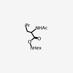 CCCCCCOC(=O)C(CC(C)C)NC(C)=O